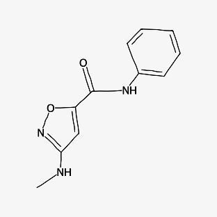 CNc1cc(C(=O)Nc2ccccc2)on1